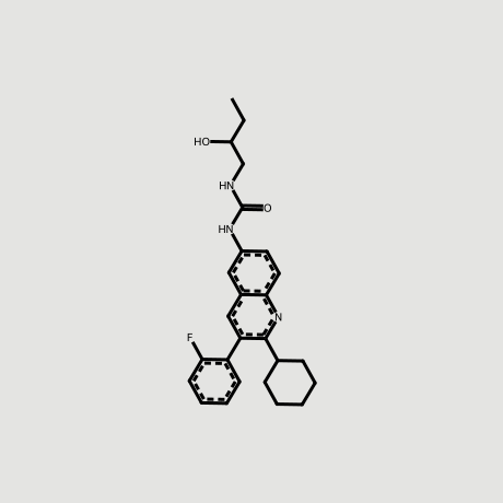 CCC(O)CNC(=O)Nc1ccc2nc(C3CCCCC3)c(-c3ccccc3F)cc2c1